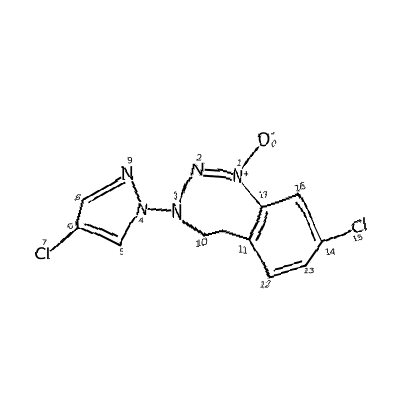 [O-][N+]1=NN(n2cc(Cl)cn2)Cc2ccc(Cl)cc21